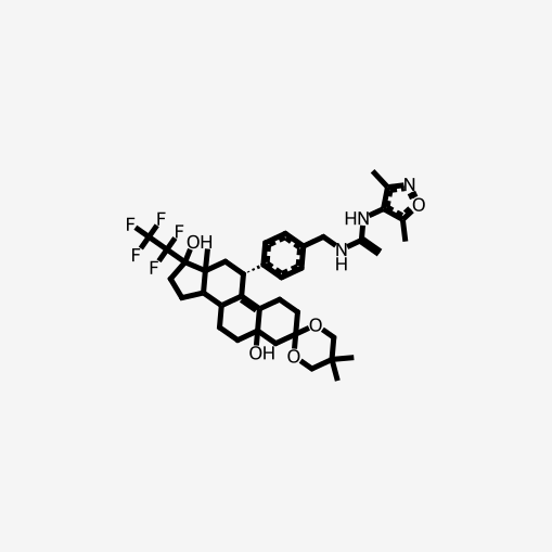 C=C(NCc1ccc([C@H]2CC3(C)C(CCC3(O)C(F)(F)C(F)(F)F)C3CCC4(O)CC5(CCC4=C32)OCC(C)(C)CO5)cc1)Nc1c(C)noc1C